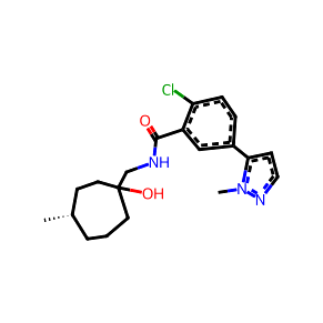 C[C@H]1CCCC(O)(CNC(=O)c2cc(-c3ccnn3C)ccc2Cl)CC1